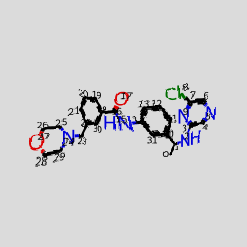 CC(Nc1cncc(Cl)n1)c1cccc(NC(=O)c2cccc(CN3CCOCC3)c2)c1